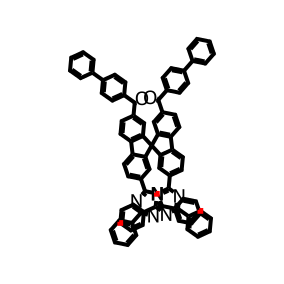 O=C(c1ccc(-c2ccccc2)cc1)c1ccc2c(c1)C1(c3cc(C(=O)c4ccc(-c5ccccc5)cc4)ccc3-c3ccc(-c4nc(-c5ccccc5)nc(-c5ccccc5)n4)cc31)c1cc(-c3nc(-c4ccccc4)nc(-c4ccccc4)n3)ccc1-2